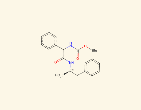 CC(C)(C)OC(=O)NC(C(=O)N[C@@H](Cc1ccccc1)C(=O)O)c1ccccc1